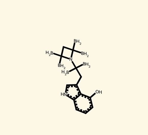 BC(B)(Cc1c[nH]c2cccc(O)c12)N1C(B)(B)CC1(B)B